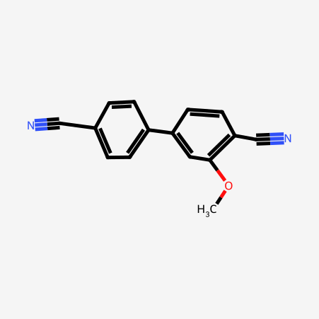 COc1cc(-c2ccc(C#N)cc2)ccc1C#N